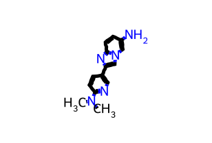 CN(C)c1ccc(-c2cn3cc(N)ccc3n2)cn1